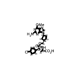 COc1nc(N)nc2c1ncn2[C@H]1C=C[C@@H](COP(=O)(N[C@@H](C)C(=O)O)Oc2ccc(Cl)cc2)C1